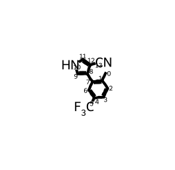 Cc1ccc(C(F)(F)F)cc1-c1c[nH]cc1C#N